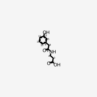 O=C(O)CCNC(=O)Cc1cccc(O)c1